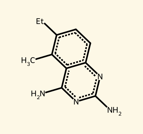 CCc1ccc2nc(N)nc(N)c2c1C